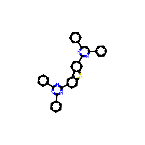 c1ccc(-c2cc(-c3ccccc3)nc(-c3ccc4c(c3)sc3ccc(-c5nc(-c6ccccc6)nc(-c6ccccc6)n5)cc34)n2)cc1